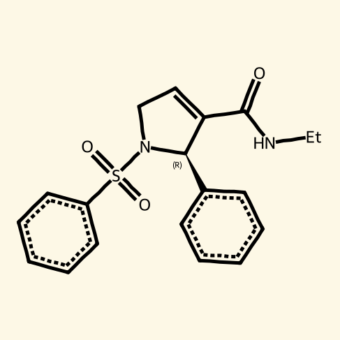 CCNC(=O)C1=CCN(S(=O)(=O)c2ccccc2)[C@@H]1c1ccccc1